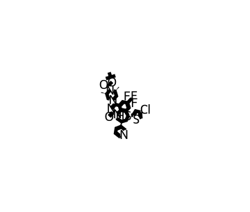 C[C@@H]1CN(c2nc(=O)n3c4c(cc(C(F)(F)F)cc24)[SH](c2cc(Cl)cs2)C[C@@H](c2cccnc2)C3)C[C@H](C)N1C(=O)OC(C)(C)C